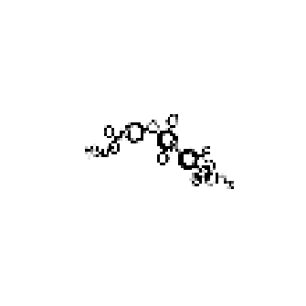 CC(C)(C)OC(=O)N1CCC(Oc2cc(=O)n(-c3ccc(S(C)(=O)=O)c(F)c3)cc2Cl)CC1